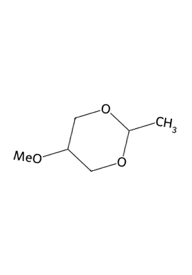 COC1COC(C)OC1